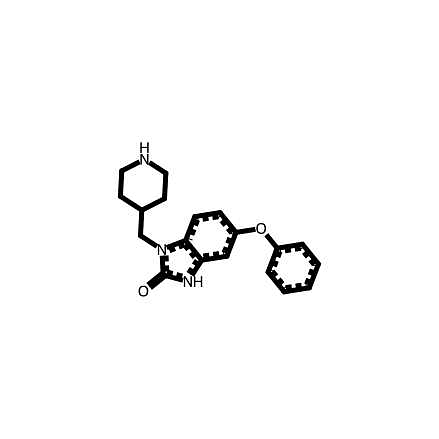 O=c1[nH]c2cc(Oc3ccccc3)ccc2n1CC1CCNCC1